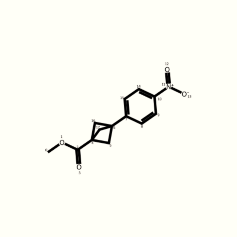 COC(=O)C12CC(c3ccc([N+](=O)[O-])cc3)(C1)C2